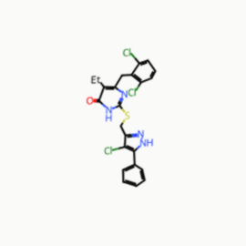 CCc1c(Cc2c(Cl)cccc2Cl)nc(SCc2n[nH]c(-c3ccccc3)c2Cl)[nH]c1=O